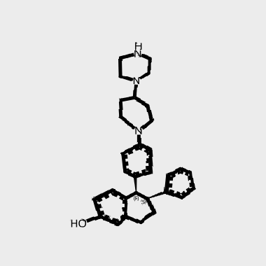 Oc1ccc2c(c1)CC[C@H](c1ccccc1)[C@@H]2c1ccc(N2CCC(N3CCNCC3)CC2)cc1